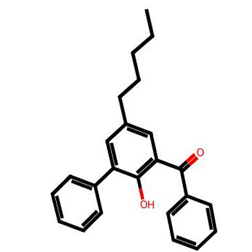 CCCCCc1cc(C(=O)c2ccccc2)c(O)c(-c2ccccc2)c1